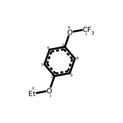 CCOc1ccc(OC(F)(F)F)cc1